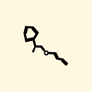 C=CC=COC[C@@H](C)c1ccccc1